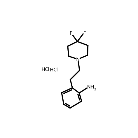 Cl.Cl.Nc1ccccc1CCN1CCC(F)(F)CC1